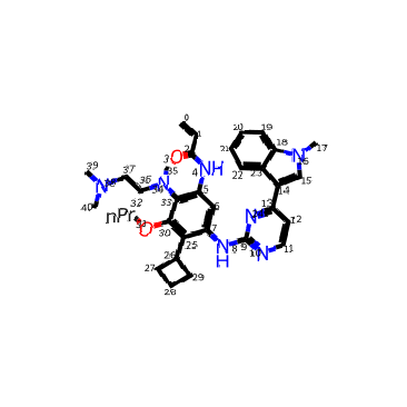 C=CC(=O)Nc1cc(Nc2nccc(-c3cn(C)c4ccccc34)n2)c(C2CCC2)c(OCCC)c1N(C)CCN(C)C